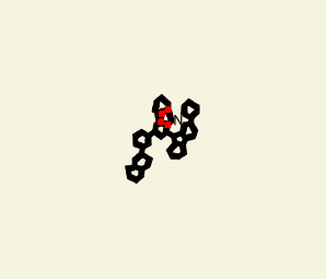 c1ccc(-c2cc(-c3cccc(-c4ccc5ccccc5c4)c3)cc(C3c4ccccc4-c4ccc5c6ccccc6n(-c6ccccc6)c5c43)c2)cc1